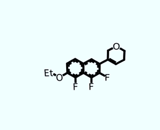 CCOc1ccc2cc(C3=CCCOC3)c(F)c(F)c2c1F